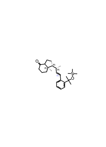 C[C@H](/C=C/c1ccccc1C(C)(C)O[Si](C)(C)C)[C@H]1CCC2C(=O)CCC[C@@]21C